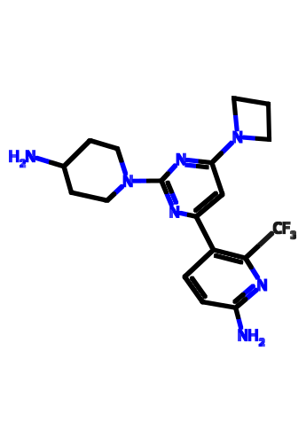 Nc1ccc(-c2cc(N3CCC3)nc(N3CCC(N)CC3)n2)c(C(F)(F)F)n1